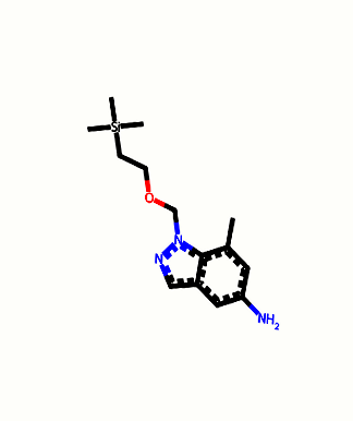 Cc1cc(N)cc2cnn(COCC[Si](C)(C)C)c12